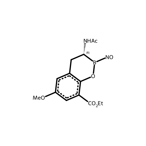 CCOC(=O)c1cc(OC)cc2c1OB(N=O)[C@@H](NC(C)=O)C2